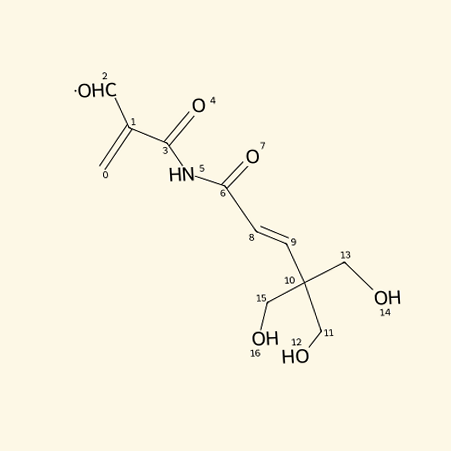 C=C([C]=O)C(=O)NC(=O)C=CC(CO)(CO)CO